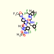 Cn1nc(NS(C)(=O)=O)c2c(Cl)ccc(-n3c([C@H](Cc4cc(F)cc(F)c4)NC(=O)Cn4nc(C(F)F)c5c4C(F)(F)[C@@H]4C[C@H]54)nc4nc(N5CCO[C@H](C(F)(F)F)C5)ccc4c3=O)c21